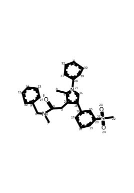 Cc1c(CC(=O)N(C)Cc2ccccc2)c(-c2cccc(S(C)(=O)=O)c2)cn1-c1ccccc1